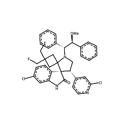 CO[C@@H](c1ccccc1)[C@@H](c1ccccc1)N1C[C@H](c2ccnc(Cl)c2)[C@@]2(C(=O)Nc3cc(Cl)ccc32)C12CC(CF)(CF)C2